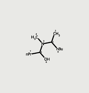 CCCCC(C)N(C)C(O)CCC